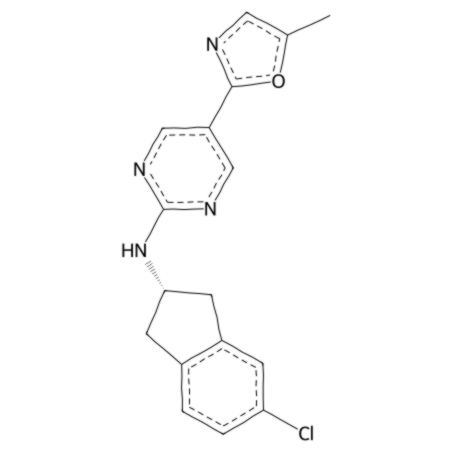 Cc1cnc(-c2cnc(N[C@H]3Cc4ccc(Cl)cc4C3)nc2)o1